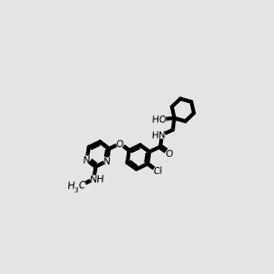 CNc1nccc(Oc2ccc(Cl)c(C(=O)NCC3(O)CCCCC3)c2)n1